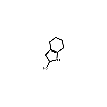 OC1CC2=C(CCCC2)N1